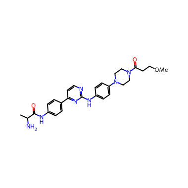 COCCC(=O)N1CCN(c2ccc(Nc3nccc(-c4ccc(NC(=O)C(C)N)cc4)n3)cc2)CC1